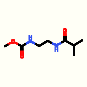 COC(=O)NCCNC(=O)C(C)C